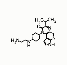 CC(C)c1nc2cnc3[nH]ccc3c2n([C@H]2CC[C@H](NCCN)CC2)c1=O